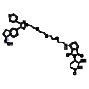 O=C1CCC(N2C(=O)c3cccc(NCCOCCOCCOCCn4cc(-c5ccc6c(c5)CC/C6=N/O)c(-c5ccncc5)n4)c3C2=O)C(O)N1